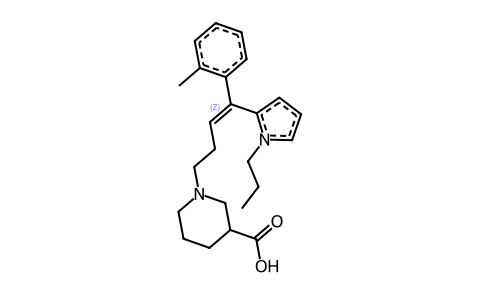 CCCn1cccc1/C(=C\CCN1CCCC(C(=O)O)C1)c1ccccc1C